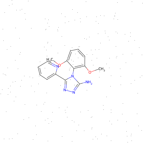 COc1cccc(OC)c1-n1c(N)nnc1-c1ccccn1